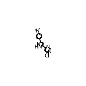 CN(C)c1ccc(-c2cc(-c3cc(Cl)ncn3)[nH]n2)cc1